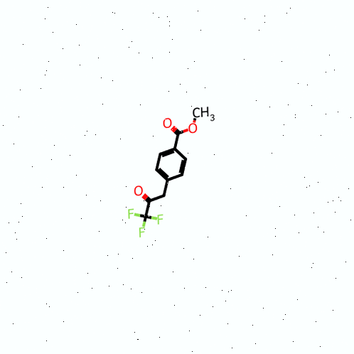 COC(=O)c1ccc(CC(=O)C(F)(F)F)cc1